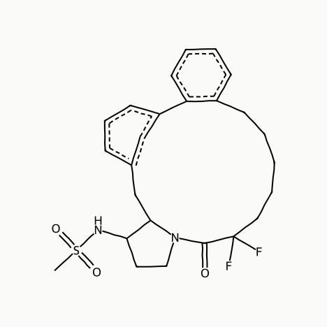 CS(=O)(=O)NC1CCN2C(=O)C(F)(F)CCCCCc3ccccc3-c3cccc(c3)CC12